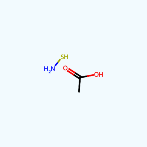 CC(=O)O.NS